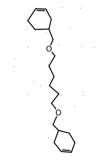 C1=CCC(COCCCCCCOCC2CC=CCC2)CC1